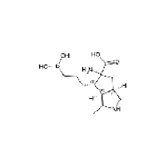 CC1NC[C@@H]2CC(N)(C(=O)O)[C@@H](CCCB(O)O)[C@H]12